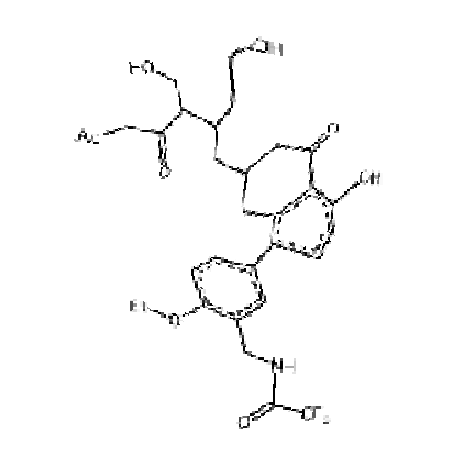 CCOc1ccc(-c2ccc(O)c3c2CC(CC(CCO)C(CO)C(=O)CC(C)=O)CC3=O)cc1CNC(=O)C(F)(F)F